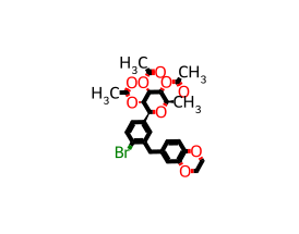 CC(=O)OC1[C@@H](C)O[C@@H](c2ccc(Br)c(Cc3ccc4c(c3)OCCO4)c2)[C@H](OC(C)=O)[C@H]1OC(C)=O